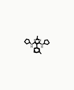 Cc1cccc(-c2c(NC3CCCC3)nc(C)nc2NC2CCCC2)c1